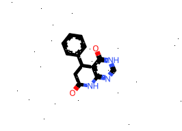 O=C1CC(c2ccccc2)c2c(nc[nH]c2=O)N1